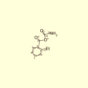 CCc1ccccc1C(=O)OC(N)=O